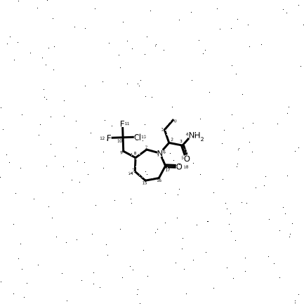 CCC(C(N)=O)N1CC(CC(F)(F)Cl)CCCC1=O